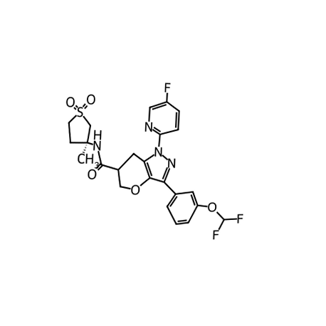 C[C@]1(NC(=O)C2COc3c(-c4cccc(OC(F)F)c4)nn(-c4ccc(F)cn4)c3C2)CCS(=O)(=O)C1